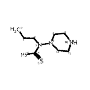 CCCN(C(=S)S)N1CCNCC1